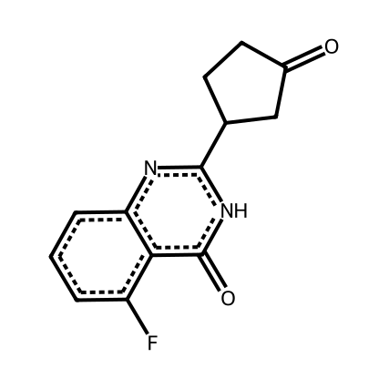 O=C1CCC(c2nc3cccc(F)c3c(=O)[nH]2)C1